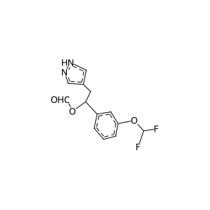 O=COC(Cc1cn[nH]c1)c1cccc(OC(F)F)c1